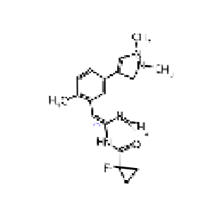 C=N/C(=C\c1cc(C2=CN(C)N(C)C2)ccc1C)NC(=O)C1(F)CC1